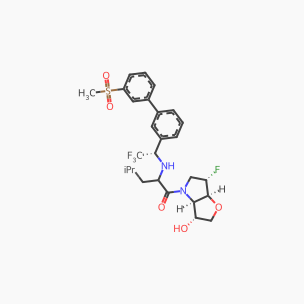 CC(C)CC(N[C@@H](c1cccc(-c2cccc(S(C)(=O)=O)c2)c1)C(F)(F)F)C(=O)N1C[C@H](F)[C@H]2OC[C@H](O)[C@H]21